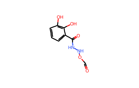 O=CONNC(=O)c1cccc(O)c1O